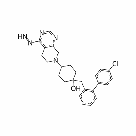 N=Nc1ncnc2c1CCN(C1CCC(O)(Cc3ccccc3-c3ccc(Cl)cc3)CC1)C2